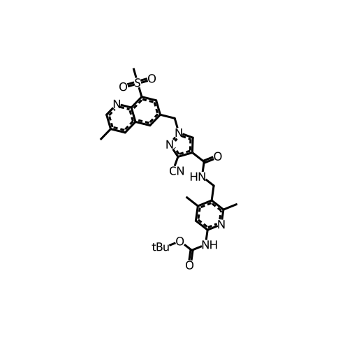 Cc1cnc2c(S(C)(=O)=O)cc(Cn3cc(C(=O)NCc4c(C)cc(NC(=O)OC(C)(C)C)nc4C)c(C#N)n3)cc2c1